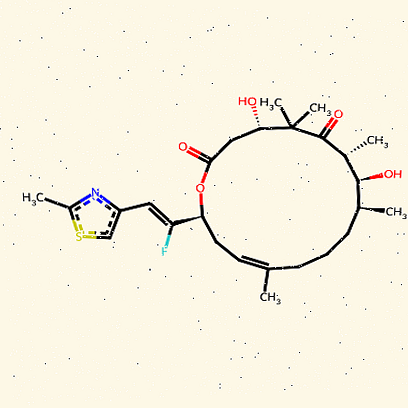 C/C1=C/C[C@@H](C(F)=Cc2csc(C)n2)OC(=O)C[C@H](O)C(C)(C)C(=O)[C@H](C)[C@@H](O)[C@@H](C)CCC1